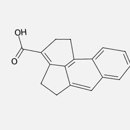 O=C(O)C1=C2CCc3cc4ccccc4c(c32)CC1